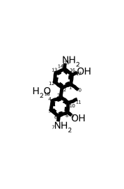 Cc1c(-c2ccc(N)c(O)c2C)ccc(N)c1O.O